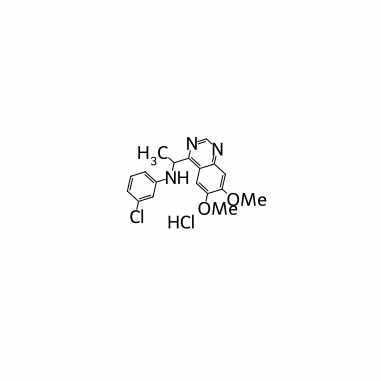 COc1cc2ncnc(C(C)Nc3cccc(Cl)c3)c2cc1OC.Cl